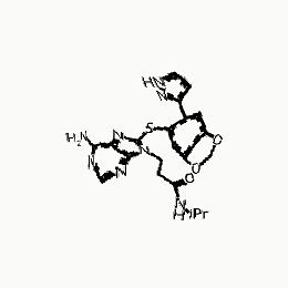 CC(C)NC(=O)CCn1c(Sc2cc3c(cc2-c2cc[nH]n2)OCO3)nc2c(N)ncnc21